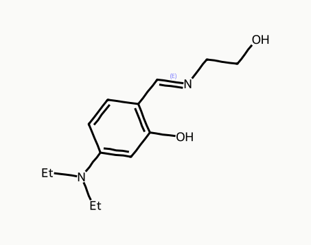 CCN(CC)c1ccc(/C=N/CCO)c(O)c1